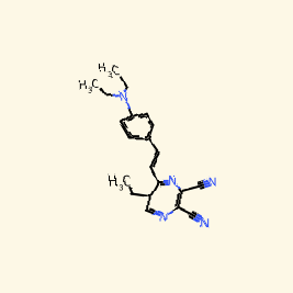 CCC1C=NC(C#N)=C(C#N)N=C1C=Cc1ccc(N(CC)CC)cc1